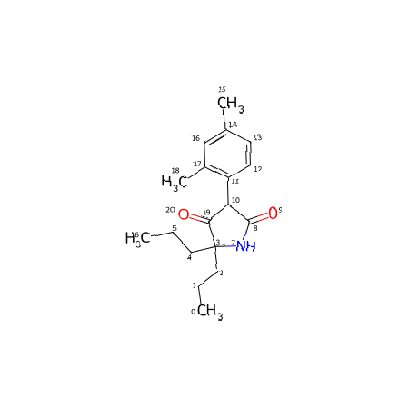 CCCC1(CCC)NC(=O)C(c2ccc(C)cc2C)C1=O